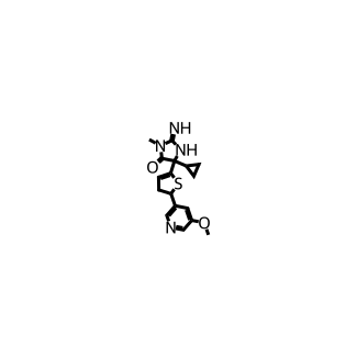 COc1cncc(C2CC=C(C3(C4CC4)NC(=N)N(C)C3=O)S2)c1